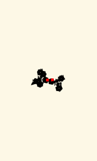 CN1C(c2ccccc2)=NC(c2ccc(-c3ccc(-n4c(-c5cccc6ccccc56)nc5c6c(c7ccccc7c54)C4CN4C6)cc3)cc2)=CC1c1ccccc1